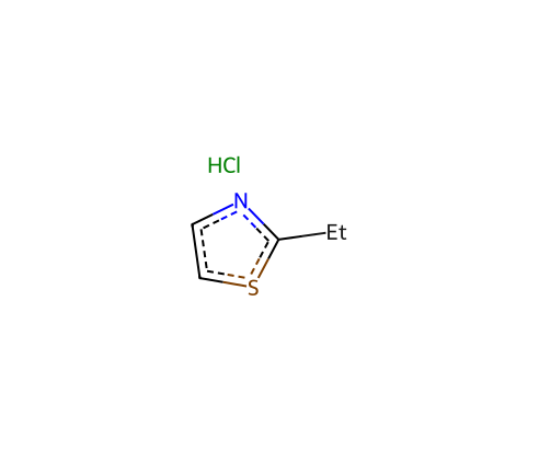 CCc1nccs1.Cl